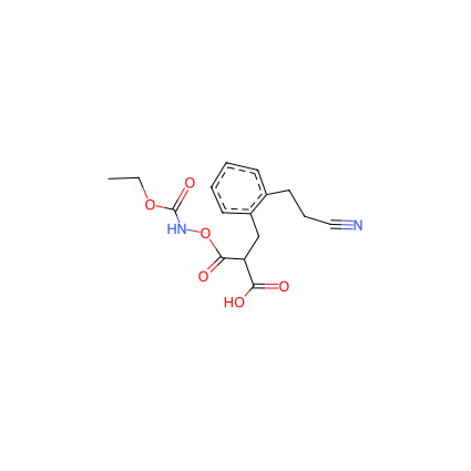 CCOC(=O)NOC(=O)C(Cc1ccccc1CCC#N)C(=O)O